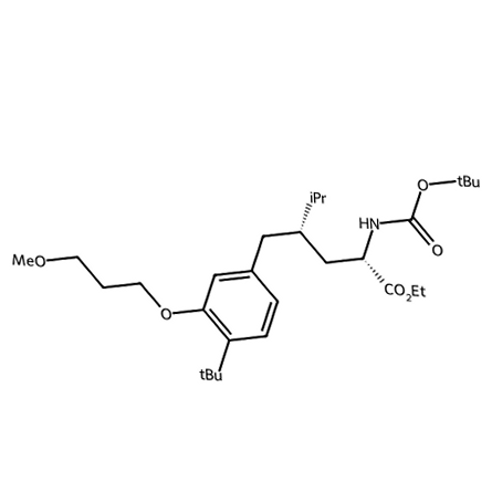 CCOC(=O)[C@H](C[C@H](Cc1ccc(C(C)(C)C)c(OCCCOC)c1)C(C)C)NC(=O)OC(C)(C)C